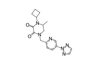 CC1CN(Cc2ccc(-n3nccn3)cn2)C(=O)C(=O)N1C1CCC1